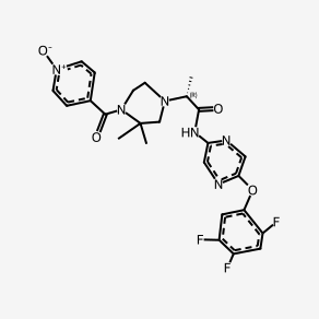 C[C@H](C(=O)Nc1cnc(Oc2cc(F)c(F)cc2F)cn1)N1CCN(C(=O)c2cc[n+]([O-])cc2)C(C)(C)C1